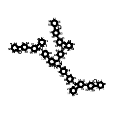 c1ccc2c(c1)oc1cc(-c3ccc4c(c3)c3ccccc3n4-c3ccc(-c4ccc(-c5nc(-c6ccc(-n7c8ccccc8c8cc(-c9ccc%10c(c9)oc9ccccc9%10)ccc87)cc6)c6cc(-c7ccc(-n8c9ccccc9c9cc(-c%10ccc%11c(c%10)oc%10ccccc%10%11)ccc98)cc7)ccc6n5)cc4)cc3)ccc12